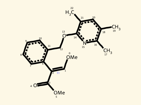 CO/C=C(/C(=O)OC)c1ccccc1COc1nc(C)c(C)cc1C